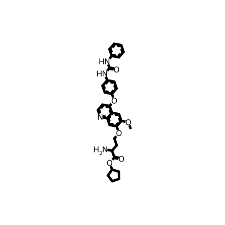 COc1cc2c(Oc3ccc(NC(=O)Nc4ccccc4)cc3)ccnc2cc1OCCC(N)C(=O)OC1CCCC1